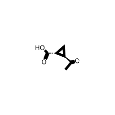 CC(=O)[C@@H]1C[C@H]1C(=O)O